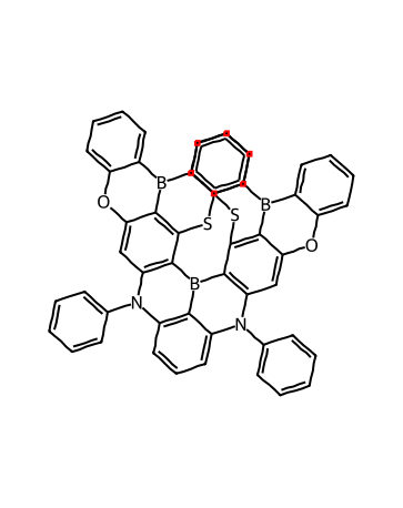 c1ccc(N2c3cccc4c3B(c3c2cc2c5c3Sc3ccccc3B5c3ccccc3O2)c2c(cc3c5c2Sc2ccccc2B5c2ccccc2O3)N4c2ccccc2)cc1